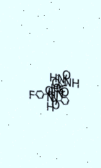 O=C(NNC(=O)c1ccccc1NS(=O)(=O)c1c[nH]c(=O)[nH]c1=O)c1ccc(F)cc1